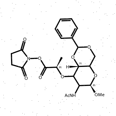 CO[C@@H]1OC2COC(c3ccccc3)O[C@H]2C(O[C@H](C)C(=O)ON2C(=O)CCC2=O)C1NC(C)=O